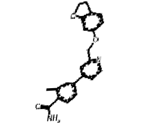 Cc1cc(-c2ccnc(COc3ccc4c(c3)OCC4)c2)ccc1C(N)=O